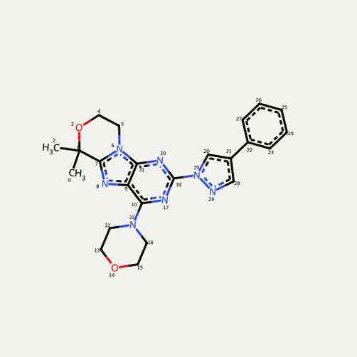 CC1(C)OCCn2c1nc1c(N3CCOCC3)nc(-n3cc(-c4ccccc4)cn3)nc12